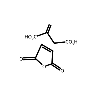 C=C(CC(=O)O)C(=O)O.O=C1C=CC(=O)O1